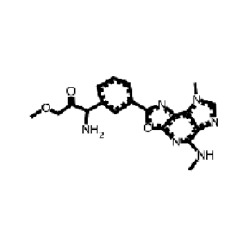 CNc1nc2oc(-c3cccc(C(N)C(=O)COC)c3)nc2c2c1ncn2C